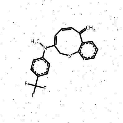 C=C1/C=C\C=C(\N(C)c2ccc(C(F)(F)F)cc2)CSc2ccccc21